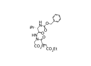 CCOC(=O)/C=C/C(=O)N(CC(=O)O)NC(=O)[C@@H](NC(=O)OCc1ccccc1)C(C)C